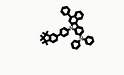 CC1(C)c2ccc(-c3ccc(-n4c5cc(N(c6ccccc6)c6ccccc6)ccc5c5c6ccccc6c(-c6ccccc6)cc54)cc3)cc2C(C)(C)C1(C)C